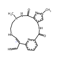 CN1CCN/C=C(\C=N)c2cccc(n2)C(=O)Nc2cn(C)nc2C(=O)N1